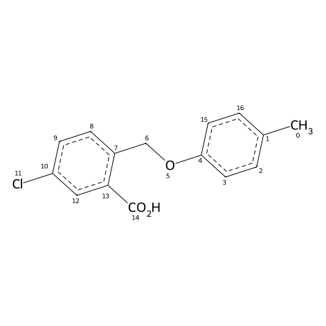 Cc1ccc(OCc2ccc(Cl)cc2C(=O)O)cc1